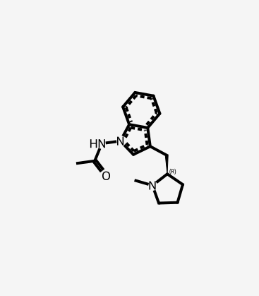 CC(=O)Nn1cc(C[C@H]2CCCN2C)c2ccccc21